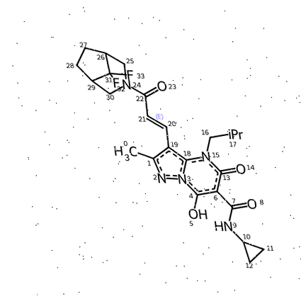 Cc1nn2c(O)c(C(=O)NC3CC3)c(=O)n(CC(C)C)c2c1/C=C/C(=O)N1CC2CCC(C1)C2(F)F